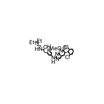 CCN(CC)CCNC(=O)Cc1cc(Nc2ncc3cc(-c4c(Cl)cccc4Cl)c(=O)n(OC)c3n2)c[nH]1